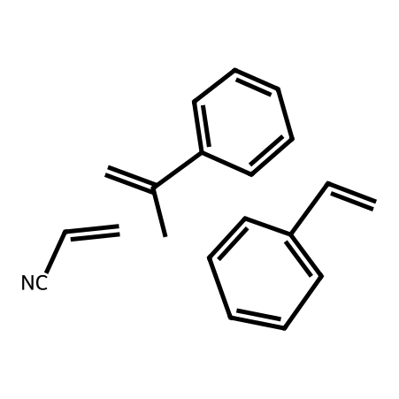 C=C(C)c1ccccc1.C=CC#N.C=Cc1ccccc1